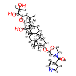 C[C@@H]1CC([C@H](O)C(C)(C)O)OC2C1[C@@]1(C)CCC34C[C@@]35CC[C@H](OC3CN(C(=O)c6ccncc6)CCO3)C(C)(C)[C@@H]5CC[C@H]4C1(C)[C@H]2O